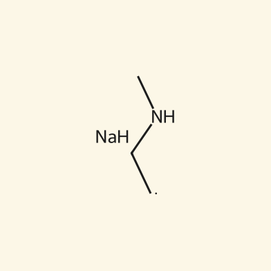 [CH2]CNC.[NaH]